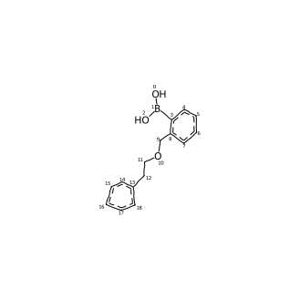 OB(O)c1ccccc1COCCc1ccccc1